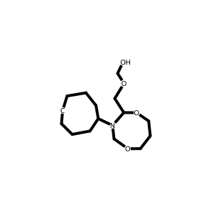 OCOCC1OCCCOCN1C1CCCCCCC1